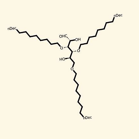 CCCCCCCCCCCCCCCCCCOC[C@@H](O)[C@@H](OCCCCCCCCCCCCCCCCCC)[C@H](OCCCCCCCCCCCCCCCCCC)[C@@H](O)C=O